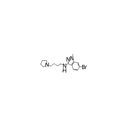 Cn1nc(NCCCCN2CCCC2)c2ccc(Br)cc21